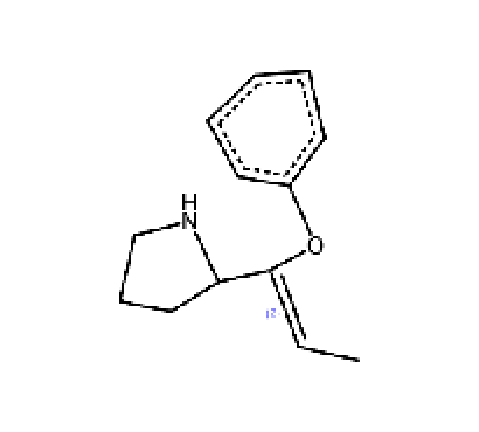 C/C=C(\Oc1ccccc1)C1CCCN1